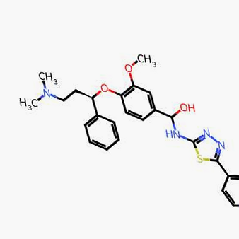 COc1cc(C(O)Nc2nnc(-c3ccncc3)s2)ccc1O[C@H](CCN(C)C)c1ccccc1